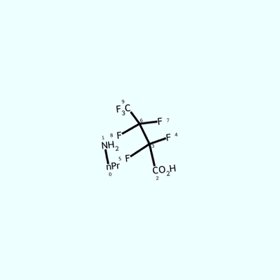 CCCN.O=C(O)C(F)(F)C(F)(F)C(F)(F)F